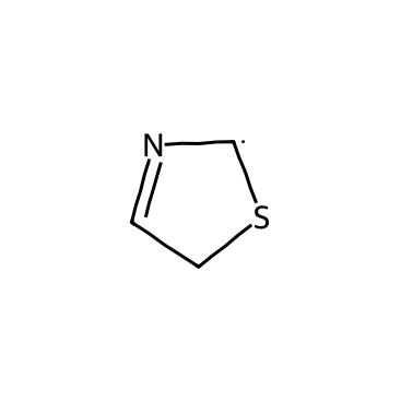 [CH]1N=CCS1